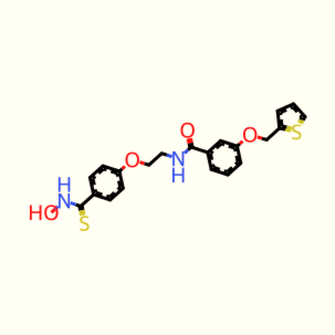 O=C(NCCOc1ccc(C(=S)NO)cc1)c1cccc(OCc2cccs2)c1